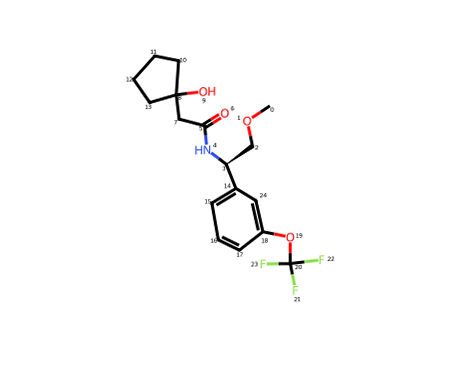 COC[C@H](NC(=O)CC1(O)CCCC1)c1cccc(OC(F)(F)F)c1